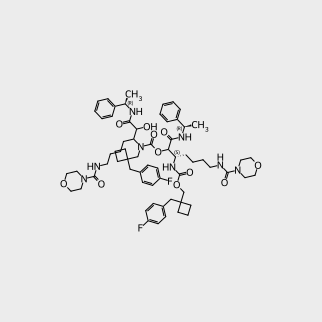 C[C@@H](NC(=O)C(O)C(CCCCNC(=O)N1CCOCC1)N(CC1(Cc2ccc(F)cc2)CCC1)C(=O)OC(C(=O)N[C@H](C)c1ccccc1)[C@H](CCCCNC(=O)N1CCOCC1)NC(=O)OCC1(Cc2ccc(F)cc2)CCC1)c1ccccc1